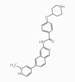 CN1C=C(c2ccc3cnc(NC(=O)c4ccc(OC5CCNCC5)cc4)cc3c2)C=CN1